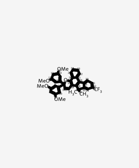 COc1cc(OC)cc(C2(c3cc(OC)cc(OC)c3)C=Cc3c4c(c5ccccc5c3O2)-c2ccc(C(F)(F)F)cc2C4(C)C)c1